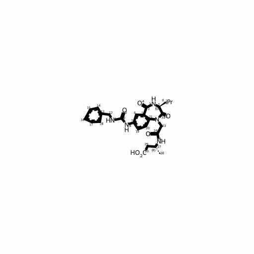 CC(C)[C@@H]1NC(=O)c2cc(NC(=O)NCc3ccccc3)ccc2N(CC(=O)N[C@H](C)CC(=O)O)C1=O